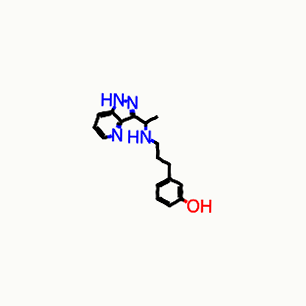 CC(NCCCc1cccc(O)c1)c1n[nH]c2cccnc12